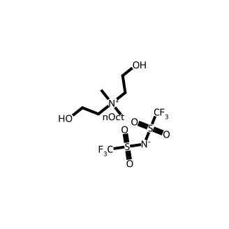 CCCCCCCC[N+](C)(CCO)CCO.O=S(=O)([N-]S(=O)(=O)C(F)(F)F)C(F)(F)F